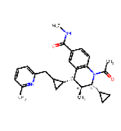 CNC(=O)c1ccc2c(c1)[C@@H](C1CC1Cc1cccc(C)n1)[C@H](C)[C@@H](C1CC1)N2C(C)=O